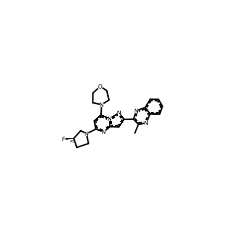 Cc1nc2ccccc2nc1-c1cc2nc(N3CC[C@@H](F)C3)cc(N3CCOCC3)n2n1